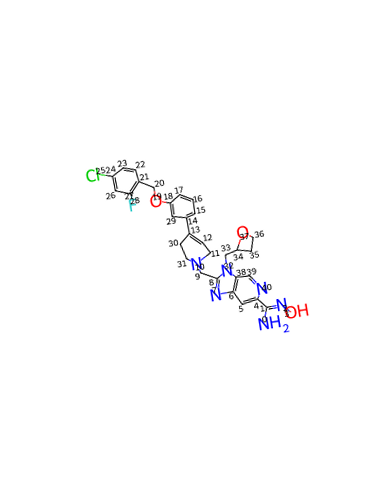 NC(=NO)c1cc2nc(CN3CC=C(c4cccc(OCc5ccc(Cl)cc5F)c4)CC3)n(CC3CCO3)c2cn1